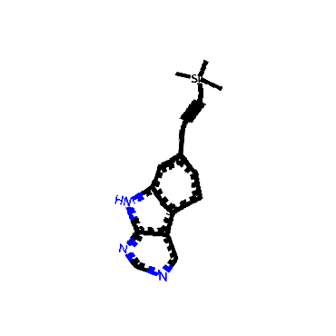 C[Si](C)(C)C#Cc1ccc2c(c1)[nH]c1ncncc12